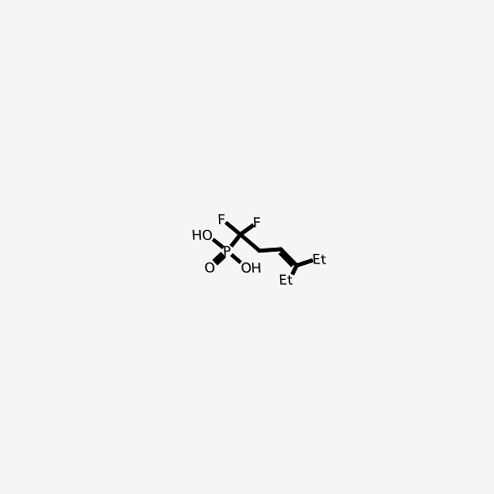 CCC(=CCC(F)(F)P(=O)(O)O)CC